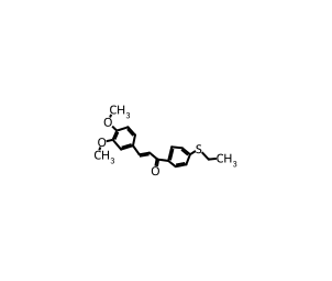 CCSc1ccc(C(=O)/C=C/c2ccc(OC)c(OC)c2)cc1